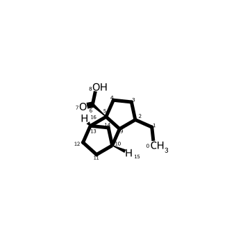 CCC1CC[C@]2(C(=O)O)C1[C@@H]1CC[C@H]2C1